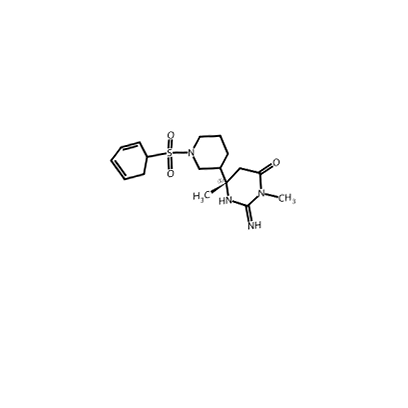 CN1C(=N)N[C@](C)(C2CCCN(S(=O)(=O)C3C=CC=CC3)C2)CC1=O